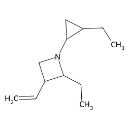 C=CC1CN(C2CC2CC)C1CC